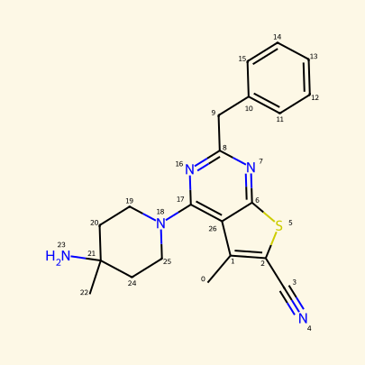 Cc1c(C#N)sc2nc(Cc3ccccc3)nc(N3CCC(C)(N)CC3)c12